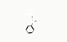 COON(O)c1ccccc1